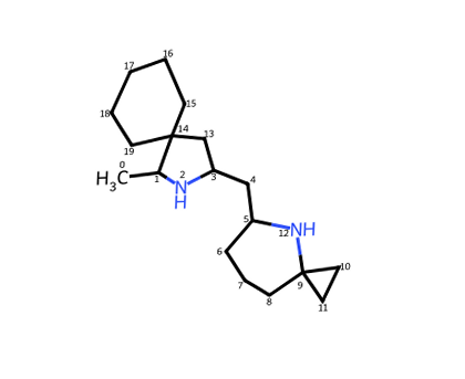 CC1NC(CC2CCCC3(CC3)N2)CC12CCCCC2